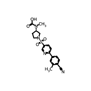 Cc1cc(-c2ccc(S(=O)(=O)N3CC[C@@H](N(C)C(=O)O)C3)cn2)ccc1C#N